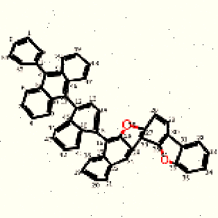 c1ccc(-c2c3ccccc3c(-c3ccc(-c4c5ccccc5cc5c4oc4ccc6c7ccccc7oc6c45)c4ccccc34)c3ccccc23)cc1